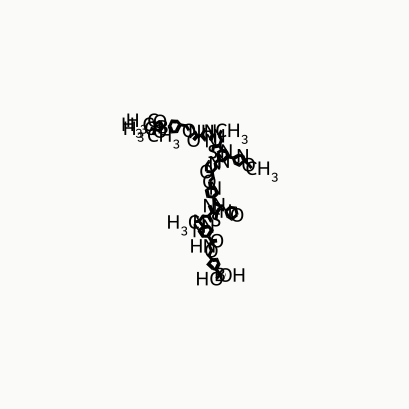 COc1ccc(-c2nc(N3CCOC(COc4ccc(-c5nc(N6CCOCC6)c6scc(CN(C)c7ncc(C(=O)NOCc8ccc(B(O)O)cc8)cn7)c6n5)cn4)C3)c3scc(CN(C)c4ncc(C(=O)NOCc5ccc(B6OC(C)(C)C(C)(C)O6)cc5)cn4)c3n2)cn1